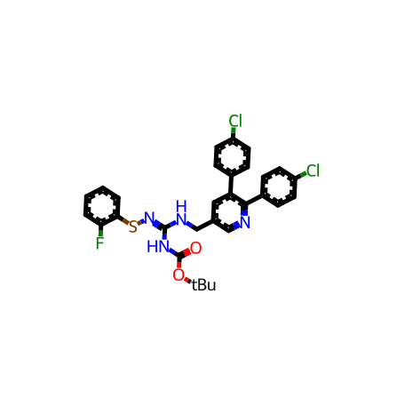 CC(C)(C)OC(=O)N/C(=N\Sc1ccccc1F)NCc1cnc(-c2ccc(Cl)cc2)c(-c2ccc(Cl)cc2)c1